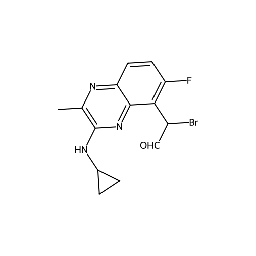 Cc1nc2ccc(F)c(C(Br)C=O)c2nc1NC1CC1